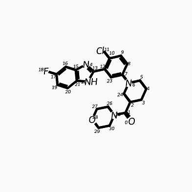 O=C(C1CCCN(c2ccc(Cl)c(-c3nc4cc(F)ccc4[nH]3)c2)C1)N1CCOCC1